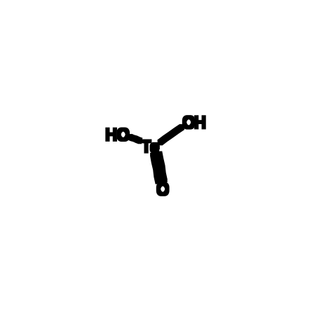 O=[Te](O)O